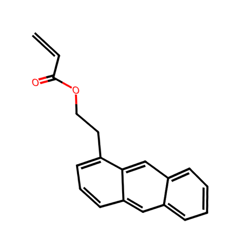 C=CC(=O)OCCc1cccc2cc3ccccc3cc12